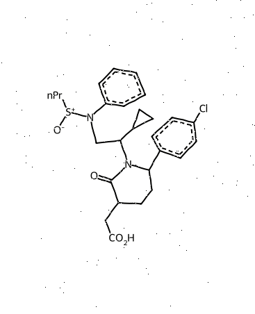 CCC[S+]([O-])N(CC(C1CC1)N1C(=O)C(CC(=O)O)CCC1c1ccc(Cl)cc1)c1ccccc1